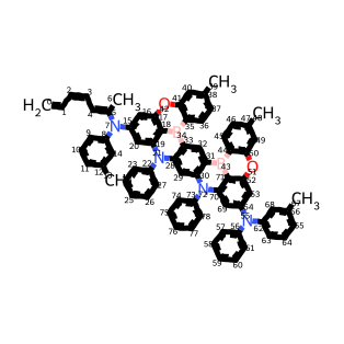 C=C/C=C\C=C(/C)N(c1cccc(C)c1)c1cc2c3c(c1)N(c1ccccc1)c1cc4c(cc1B3c1ccc(C)cc1O2)B1c2ccc(C)cc2Oc2cc(N(c3ccccc3)c3cccc(C)c3)cc(c21)N4c1ccccc1